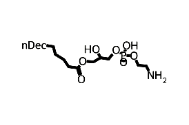 CCCCCCCCCCCCCCC(=O)OCC(O)COP(=O)(O)OCCN